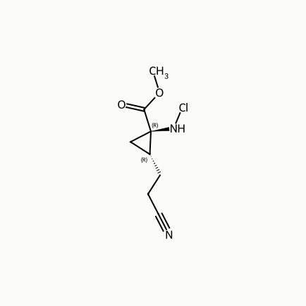 COC(=O)[C@@]1(NCl)C[C@H]1CCC#N